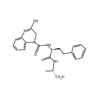 C[C@H](NC(=O)[C@H](CCc1ccccc1)NC(=O)N1CC(O)=Nc2ccccc21)C(=O)O